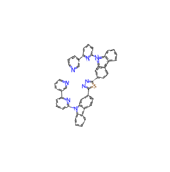 c1cncc(-c2cccc(-n3c4ccccc4c4ccc(-c5nnc(-c6ccc7c8ccccc8n(-c8cccc(-c9cccnc9)n8)c7c6)s5)cc43)n2)c1